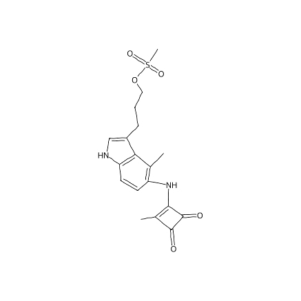 Cc1c(Nc2ccc3[nH]cc(CCCOS(C)(=O)=O)c3c2C)c(=O)c1=O